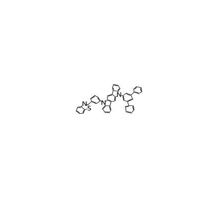 c1ccc(-c2cc(-c3ccccc3)cc(-n3c4ccccc4c4cc5c(cc43)c3ccccc3n5-c3cccc(-c4nc5ccccc5s4)c3)c2)cc1